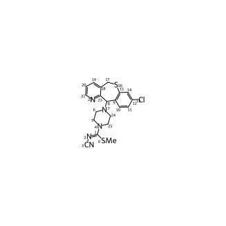 CS/C(=N\C#N)N1CCN(C2c3ccc(Cl)cc3SCc3cccnc32)CC1